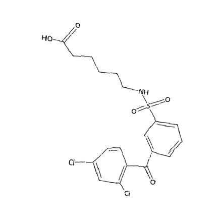 O=C(O)CCCCCNS(=O)(=O)c1cccc(C(=O)c2ccc(Cl)cc2Cl)c1